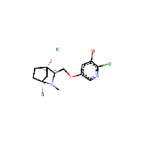 CN1[C@H]2CC[C@H](C2)[C@H]1COc1cnc(Cl)c(Br)c1.Cl